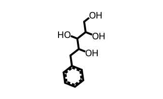 OCC(O)C(O)C(O)Cc1ccccc1